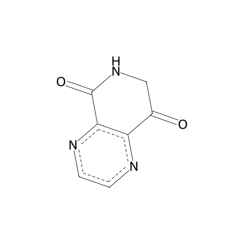 O=C1CNC(=O)c2nccnc21